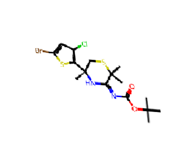 CC(C)(C)OC(=O)/N=C1/N[C@](C)(C2SC(Br)=CC2Cl)CSC1(C)C